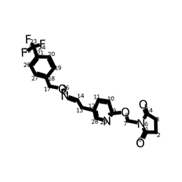 O=C1CCC(=O)N1COc1ccc(CC=NOCc2ccc(C(F)(F)F)cc2)cn1